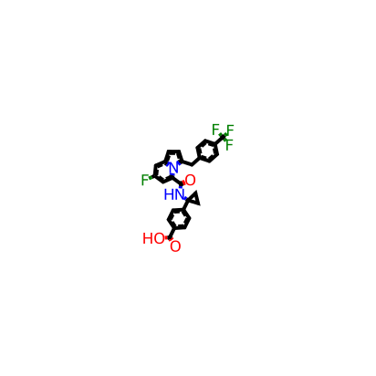 O=C(O)c1ccc(C2(NC(=O)c3cc(F)cc4ccc(Cc5ccc(C(F)(F)F)cc5)n34)CC2)cc1